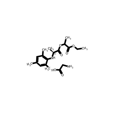 CCOC(=O)C(C)OC(=O)[C@H](C)Nc1c(C)cc(C)cc1C.NCC(=O)O